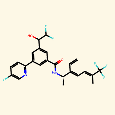 C=C/C(=C\C=C(/C)C(F)(F)F)[C@@H](C)NC(=O)c1cc(-c2ccc(F)cn2)cc(C(O)C(F)F)c1